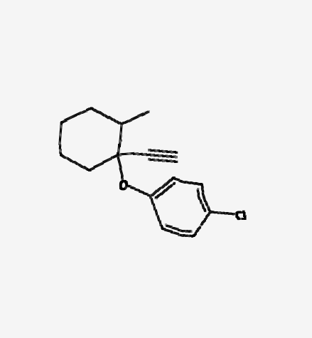 C#CC1(Oc2ccc(Cl)cc2)CCCCC1C